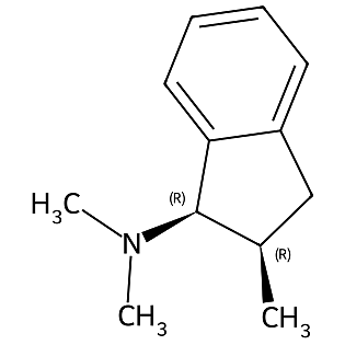 C[C@@H]1Cc2ccccc2[C@@H]1N(C)C